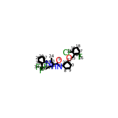 Cc1cc(C(=O)Nc2cccc(OCc3c(F)cccc3Cl)c2)c(C)n1-c1ccccc1C(F)(F)F